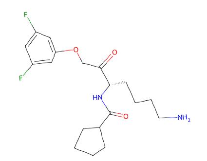 NCCCC[C@H](NC(=O)C1CCCC1)C(=O)COc1cc(F)cc(F)c1